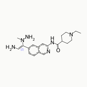 CCN1CCC(C(=O)Nc2cc3cc(/C(=C/N)N(C)N)ccc3cn2)CC1